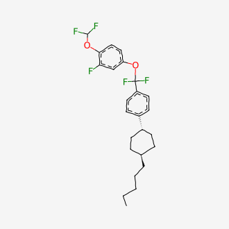 CCCCC[C@H]1CC[C@H](c2ccc(C(F)(F)Oc3ccc(OC(F)F)c(F)c3)cc2)CC1